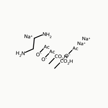 CC(=O)O.CC(=O)O.CC(=O)[O-].CC(=O)[O-].CC(=O)[O-].NCCN.[Na+].[Na+].[Na+]